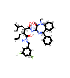 C=CC[C@H](C(=O)NCc1cc(F)cc(F)c1)[C@@H](CC(C)C)C(=O)NC1N=C(c2ccccc2)c2ccccc2N(C)C1=O